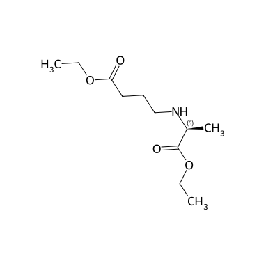 CCOC(=O)CCCN[C@@H](C)C(=O)OCC